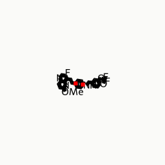 COc1ccc2ncc(F)c(CCC34CCC(NCc5ccc6c(c5)OC(F)(F)O6)(CC3)CO4)c2n1